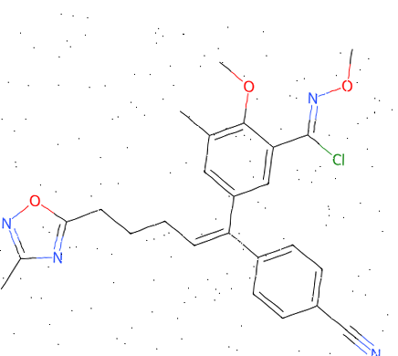 CO/N=C(\Cl)c1cc(/C(=C\CCCc2nc(C)no2)c2ccc(C#N)cc2)cc(C)c1OC